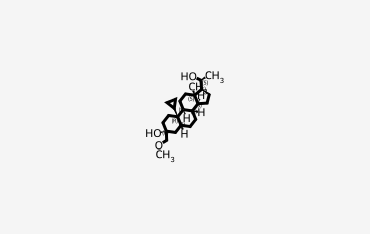 COC[C@@]1(O)CC[C@@]2(C3CC3)[C@H](CC[C@H]3[C@@H]4CC[C@H]([C@H](C)O)[C@@]4(C)CC[C@@H]32)C1